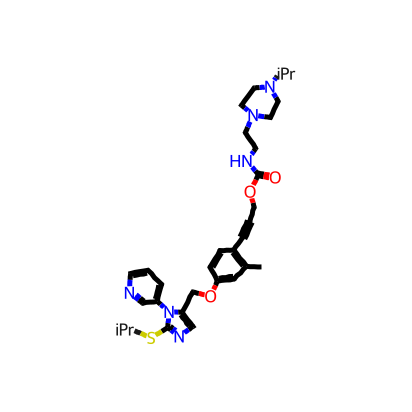 Cc1cc(OCc2cnc(SC(C)C)n2-c2cccnc2)ccc1C#CCOC(=O)NCCN1CCN(C(C)C)CC1